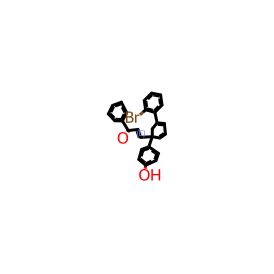 O=C(/C=C/C1(c2ccc(O)cc2)C=CC=C(c2ccccc2Br)C1)c1ccccc1